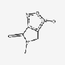 CN1Cc2c(no[n+]2[O-])C1=O